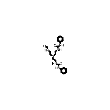 O=CNCCN(CCNC(=O)Nc1ccccc1)CCNC(=O)Nc1ccccc1